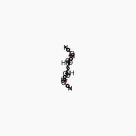 CN(C)c1ccc(/C=C/C23OCCN2c2ccc(S(=O)(=O)NCCSSCCNS(=O)(=O)c4ccc5c(c4)C(C)(C)C4(/C=C/c6ccc(N(C)C)cc6)OCCN54)cc2C3(C)C)cc1